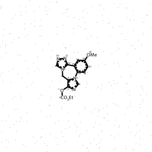 CCOC(=O)Oc1ncn2c1Cn1cnnc1-c1cc(OC)ccc1-2